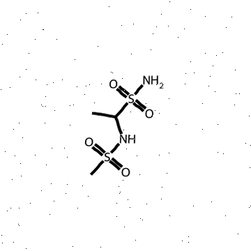 CC(NS(C)(=O)=O)S(N)(=O)=O